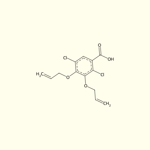 C=CCOc1c(Cl)cc(C(=O)O)c(Cl)c1OCC=C